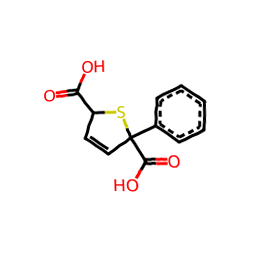 O=C(O)C1C=CC(C(=O)O)(c2ccccc2)S1